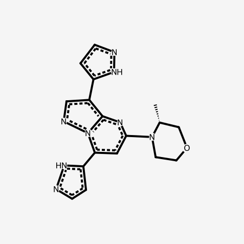 C[C@@H]1COCCN1c1cc(-c2ccn[nH]2)n2ncc(-c3ccn[nH]3)c2n1